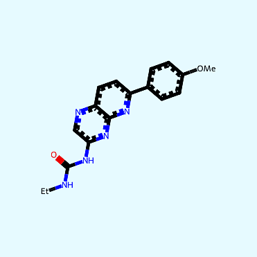 CCNC(=O)Nc1cnc2ccc(-c3ccc(OC)cc3)nc2n1